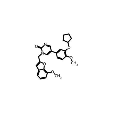 COc1ccc(-c2cnc(=O)n(Cc3cc4cccc(OC)c4o3)c2)cc1OC1CCCC1